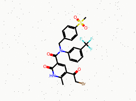 Cc1[nH]c(=O)c(C(=O)N(Cc2ccc(S(C)(=O)=O)cc2)c2cccc(C(F)(F)F)c2)cc1C(=O)CBr